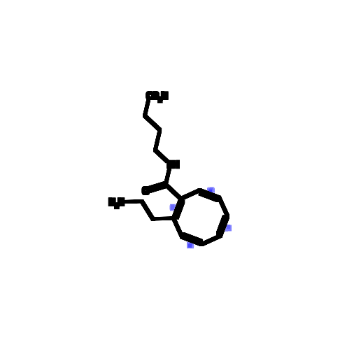 NCCC1=C(C(=O)NCCCC(=O)O)/C=C\C=C/C=C\1